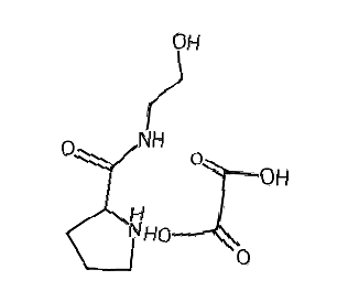 O=C(NCCO)C1CCCN1.O=C(O)C(=O)O